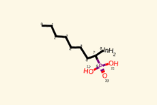 CCCCCCC[CH]([InH2])P(=O)(O)O